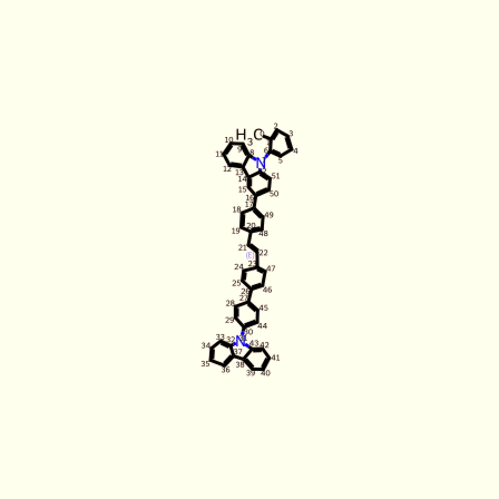 Cc1ccccc1-n1c2ccccc2c2cc(-c3ccc(/C=C/c4ccc(-c5ccc(-n6c7ccccc7c7ccccc76)cc5)cc4)cc3)ccc21